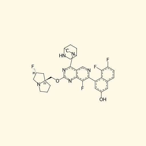 Oc1cc(-c2ncc3c(N4CC5CCC4CN5)nc(OC[C@@]45CCCN4C[C@H](F)C5)nc3c2F)c2c(F)c(F)ccc2c1